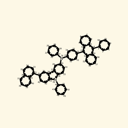 c1ccc(-c2c3ccccc3c(-c3ccc(N(c4ccccc4)c4ccc5c(c4)c4cc(-c6cccc7ccccc67)ccc4n5-c4ccccc4)cc3)c3ccccc23)cc1